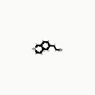 BrCCc1ccc2cnccc2c1